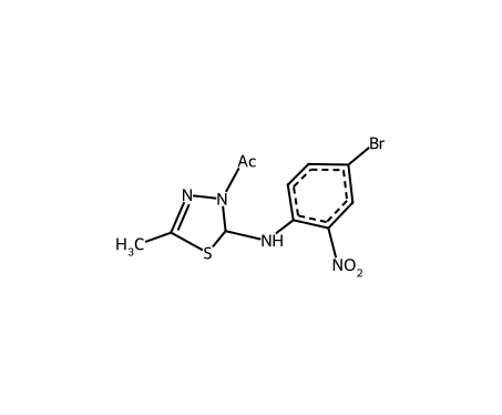 CC(=O)N1N=C(C)SC1Nc1ccc(Br)cc1[N+](=O)[O-]